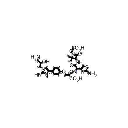 Cn1c(-c2ccc(OC[C@H](O/N=C(\C(=O)N[C@@H]3C(=O)N(OS(=O)(=O)O)C3(C)C)c3csc(N)n3)C(=O)O)cc2)cn(C[C@@H](O)CN)c1=N